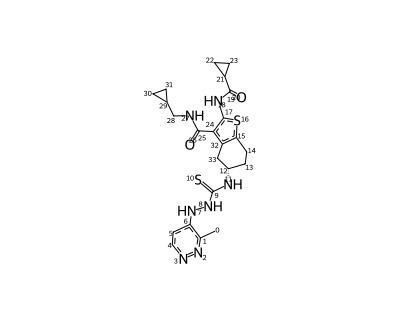 Cc1nnccc1NNC(=S)N[C@H]1CCc2sc(NC(=O)C3CC3)c(C(=O)NCC3CC3)c2C1